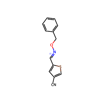 N#Cc1csc(/C=N/OCc2ccccc2)c1